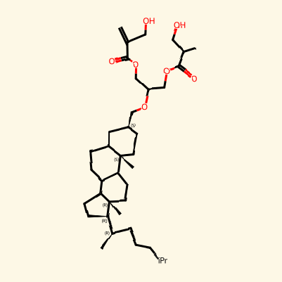 C=C(CO)C(=O)OCC(COC(=O)C(C)CO)OC[C@H]1CC[C@@]2(C)C(CCC3C2CC[C@@]2(C)C3CC[C@@H]2[C@H](C)CCCC(C)C)C1